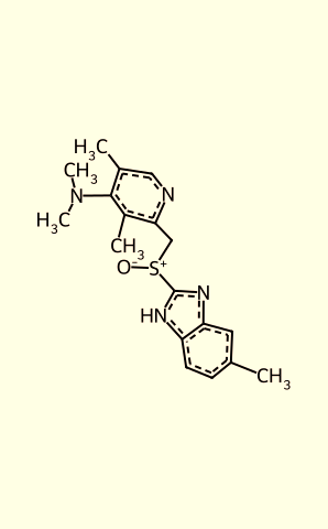 Cc1ccc2[nH]c([S+]([O-])Cc3ncc(C)c(N(C)C)c3C)nc2c1